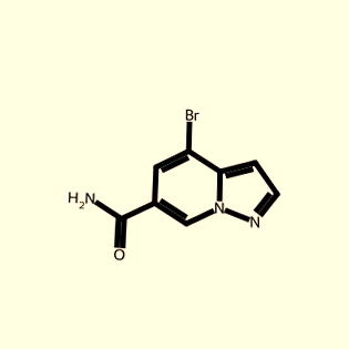 NC(=O)c1cc(Br)c2ccnn2c1